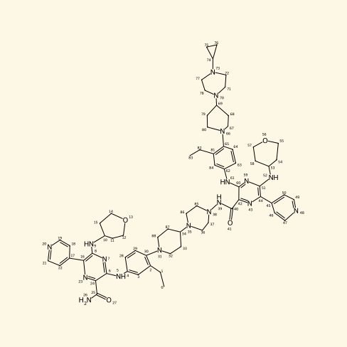 CCc1cc(Nc2nc(NC3CCOCC3)c(-c3ccncc3)nc2C(N)=O)ccc1N1CCC(N2CCN(NC(=O)c3nc(-c4ccncc4)c(NC4CCOCC4)nc3Nc3ccc(N4CCC(N5CCN(C6CC6)CC5)CC4)c(CC)c3)CC2)CC1